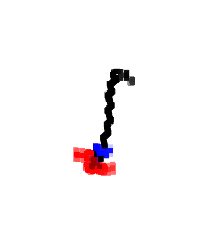 CCCCCCCCCCCCNCP(=O)(O)O